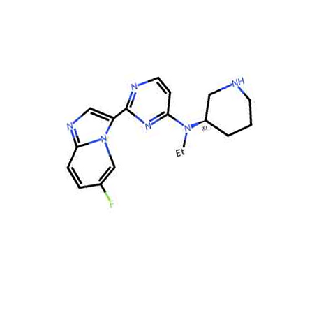 CCN(c1ccnc(-c2cnc3ccc(F)cn23)n1)[C@@H]1CCCNC1